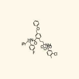 Cc1ccc(S(=O)(=O)NC(=O)CCc2ccc(COc3ccccc3)cc2C(=O)NC(CC(C)C)c2ccc(F)cc2)cc1Cl